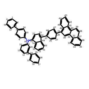 c1ccc(-c2ccc(N(c3cccc(-c4ccccc4)c3)c3ccc(-c4ccc(-c5cc6c7ccccc7ccc6c6ccccc56)cc4)c4ccccc34)cc2)cc1